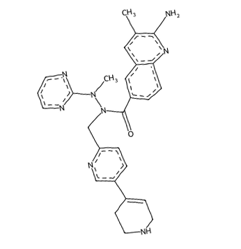 Cc1cc2cc(C(=O)N(Cc3ccc(C4=CCNCC4)cn3)N(C)c3ncccn3)ccc2nc1N